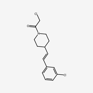 O=C(CCl)N1CCC(C=Cc2cccc(Cl)c2)CC1